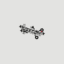 COC(=O)C1(NC(=O)OC(C)(C)C)CCN(C(=O)[C@@H](CCCCNC(=O)OC(C)(C)C)NC(=O)[C@@H](CC2CC2)NC(=O)[C@@H](Cc2ccccc2)NC(=O)[C@@H](Cc2ccccc2)NC(=O)OC(C)(C)C)C1